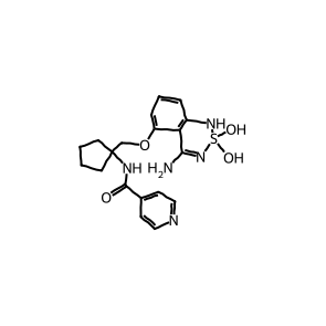 NC1=NS(O)(O)Nc2cccc(OCC3(NC(=O)c4ccncc4)CCCC3)c21